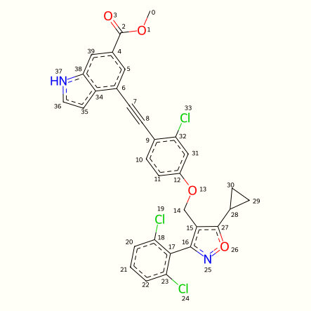 COC(=O)c1cc(C#Cc2ccc(OCc3c(-c4c(Cl)cccc4Cl)noc3C3CC3)cc2Cl)c2cc[nH]c2c1